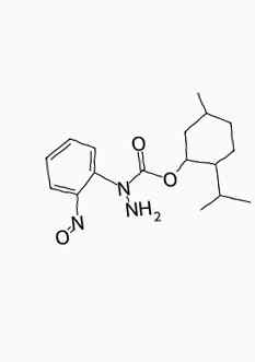 CC1CCC(C(C)C)C(OC(=O)N(N)c2ccccc2N=O)C1